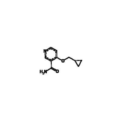 NC(=O)c1cnccc1OCC1CC1